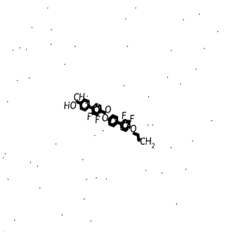 C=CCCOc1ccc(-c2ccc(OC(=O)c3ccc(C4CCC(C(C)O)CC4)c(F)c3F)cc2)c(F)c1F